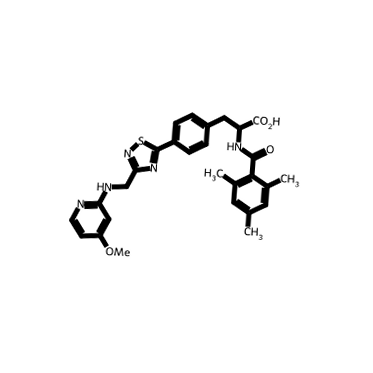 COc1ccnc(NCc2nsc(-c3ccc(CC(NC(=O)c4c(C)cc(C)cc4C)C(=O)O)cc3)n2)c1